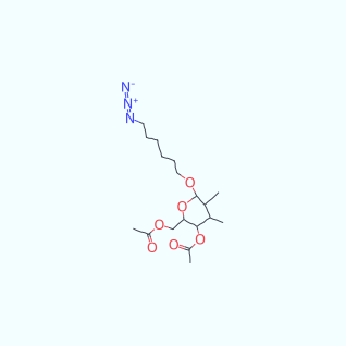 CC(=O)OCC1OC(OCCCCCCN=[N+]=[N-])C(C)C(C)C1OC(C)=O